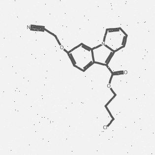 N#CCOc1ccc2c(C(=O)OCCCCl)c3ccccn3c2c1